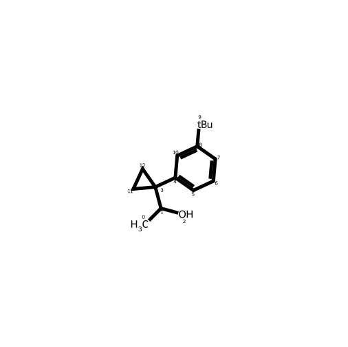 CC(O)C1(c2cccc(C(C)(C)C)c2)CC1